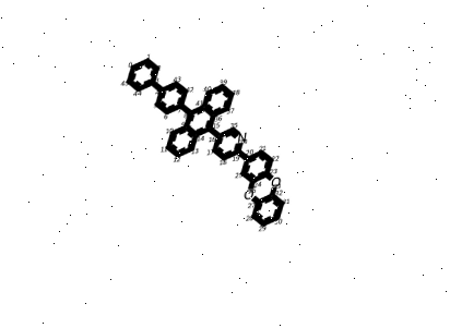 c1ccc(-c2ccc(-c3c4ccccc4c(-c4ccc(-c5ccc6c(c5)Oc5ccccc5O6)nc4)c4ccccc34)cc2)cc1